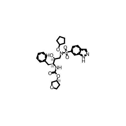 O=C(N[C@@H](Cc1ccccc1)[C@@H](O)CN(OC1CCCC1)S(=O)(=O)c1ccc2cn[nH]c2c1)O[C@H]1CCOC1